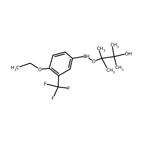 CCOc1ccc(BOC(C)(C)C(C)(C)O)cc1C(F)(F)F